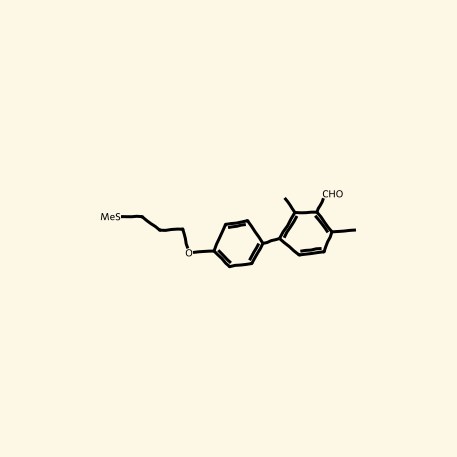 CSCCCOc1ccc(-c2ccc(C)c(C=O)c2C)cc1